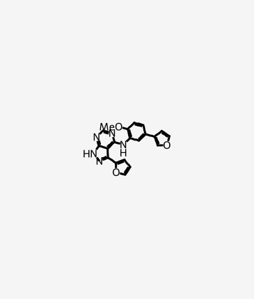 COc1ccc(-c2ccoc2)cc1Nc1ncnc2[nH]nc(-c3ccco3)c12